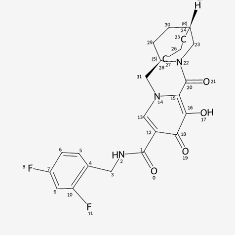 O=C(NCc1ccc(F)cc1F)c1cn2c(c(O)c1=O)C(=O)N1C[C@@H]3CCC[C@]1(CC3)C2